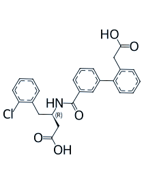 O=C(O)Cc1ccccc1-c1cccc(C(=O)N[C@@H](CC(=O)O)Cc2ccccc2Cl)c1